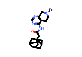 CCN1CCc2c(ncnc2NC(=O)CC23CC4CC(CC(C4)C2)C3)C1